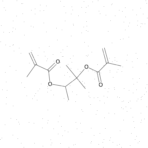 C=C(C)C(=O)OC(C)C(C)(C)OC(=O)C(=C)C